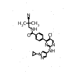 CC(C)(C#N)CNC(=O)c1ccc(-c2nc(Nc3cnn(C4CC4)c3)ncc2Cl)cc1